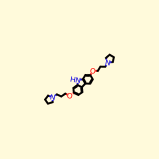 c1cc2c(cc1OCCCN1CCCC1)[nH]c1cc(OCCCN3CCCC3)ccc12